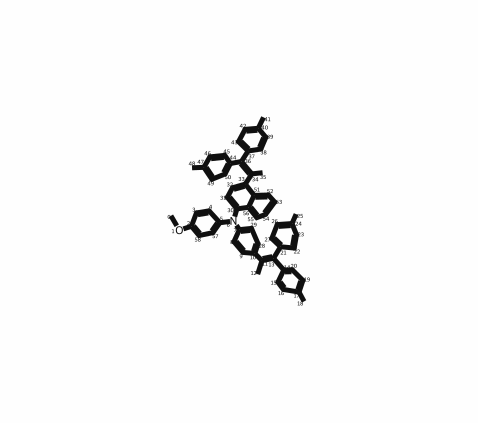 COc1ccc(N(c2ccc(C(C)=C(c3ccc(C)cc3)c3ccc(C)cc3)cc2)c2ccc(C(C)=C(c3ccc(C)cc3)c3ccc(C)cc3)c3ccccc23)cc1